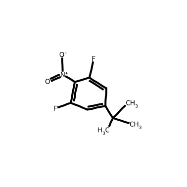 CC(C)(C)c1cc(F)c([N+](=O)[O-])c(F)c1